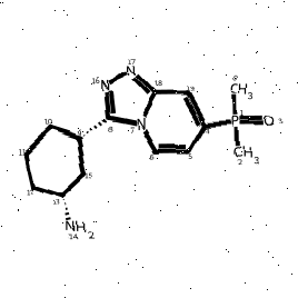 CP(C)(=O)c1ccn2c([C@H]3CCC[C@@H](N)C3)nnc2c1